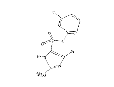 CCn1c(OC)nc(C(C)C)c1S(=O)(=O)Oc1cccc(Cl)c1